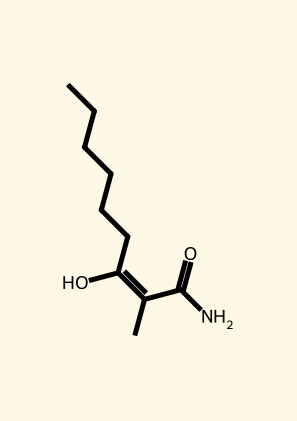 CCCCCCC(O)=C(C)C(N)=O